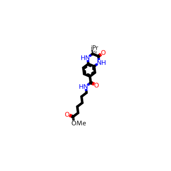 COC(=O)CCCCCNC(=O)c1ccc2c(c1)NC(=O)[C@H](C(C)C)N2